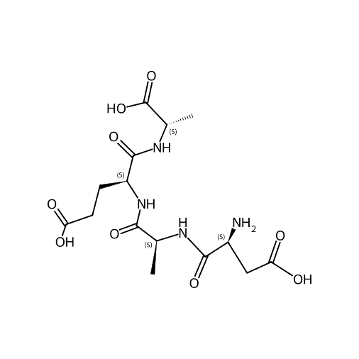 C[C@H](NC(=O)[C@H](CCC(=O)O)NC(=O)[C@H](C)NC(=O)[C@@H](N)CC(=O)O)C(=O)O